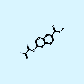 C=C(C)C(=O)Oc1ccc2cc(C(=O)OC)ccc2c1